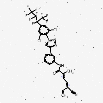 C=C/C(C#N)=C\C=C(/C)C(=O)Nc1cccc(-c2cn(-c3c(Cl)cc(C(F)(C(F)(F)F)C(F)(F)C(F)(F)F)cc3Cl)nn2)c1